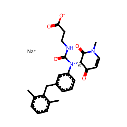 Cc1cccc(C)c1Cc1cccc(N(C(=O)NCCC(=O)[O-])[C@H]2C(=O)C=CN(C)C2=O)c1.[Na+]